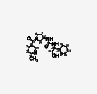 Cc1ccc(C(=O)N2CC[C@@H](NC(=O)N[C@H](CO)c3ccccc3)C2)cn1